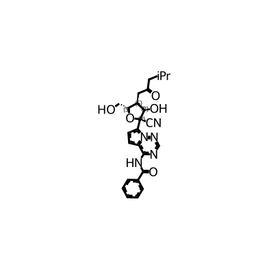 CC(C)CC(=O)C[C@H]1[C@@H](O)[C@](C#N)(c2ccc3c(NC(=O)c4ccccc4)ncnn23)O[C@@H]1CO